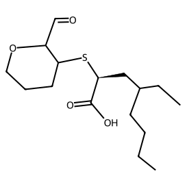 CCCCC(CC)C[C@H](SC1CCCOC1C=O)C(=O)O